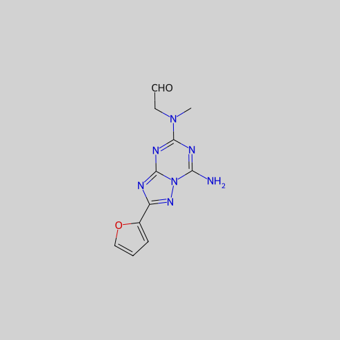 CN(CC=O)c1nc(N)n2nc(-c3ccco3)nc2n1